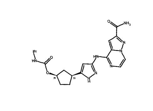 CC(C)NC(=O)O[C@@H]1CC[C@H](c2cc(Nc3nccn4nc(C(N)=O)cc34)n[nH]2)C1